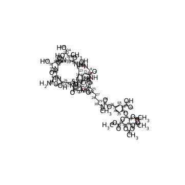 CC[C@H](C)[C@@H]1NC(=O)CNC(=O)[C@@H]2Cc3c4[nH]c5cc(ccc35)OC1(CCCCCCN(C)C(=O)OCc1ccc(O[C@@H]3O[C@H](C(=O)OC)[C@@H](OC(C)=O)[C@H](OC(C)=O)[C@H]3OC(C)=O)c(C(=O)O)c1)C(=O)NCC(=O)N[C@@H](C[S+]4[O-])C(=O)N[C@@H](CC(N)=O)C(=O)N1C[C@H](O)C[C@H]1C(=O)N[C@@H]([C@@H](C)[C@@H](O)CO)C(=O)N2